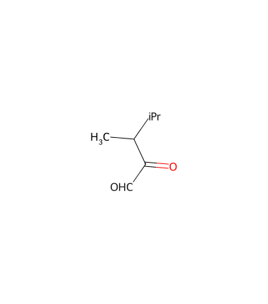 CC(C)C(C)C(=O)C=O